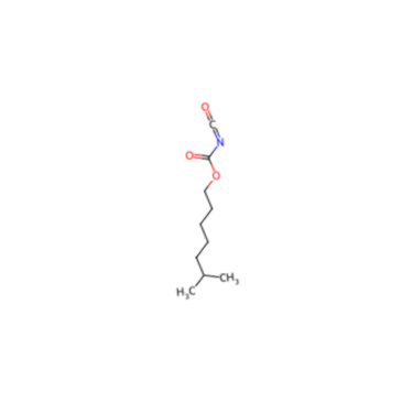 CC(C)CCCCCOC(=O)N=C=O